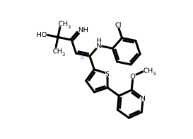 COc1ncccc1-c1ccc(/C(=C/C(=N)C(C)(C)O)Nc2ccccc2Cl)s1